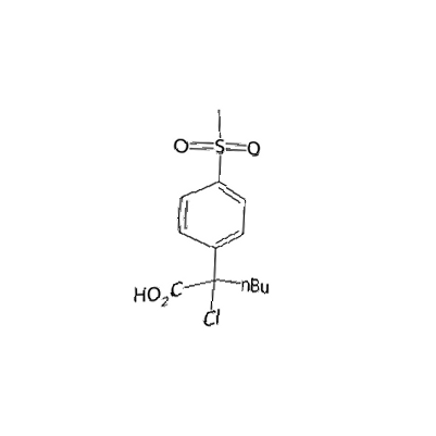 CCCCC(Cl)(C(=O)O)c1ccc(S(C)(=O)=O)cc1